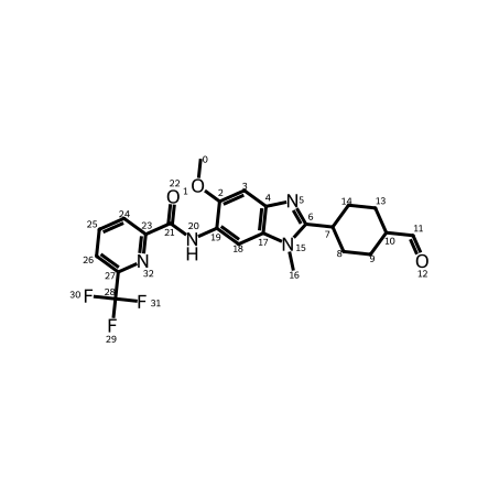 COc1cc2nc(C3CCC(C=O)CC3)n(C)c2cc1NC(=O)c1cccc(C(F)(F)F)n1